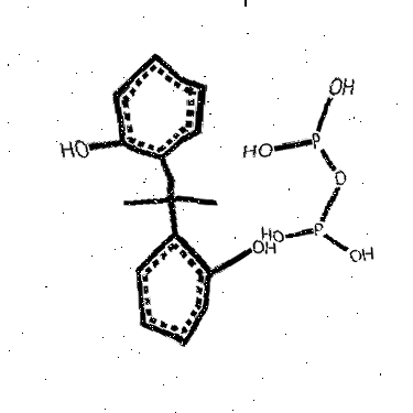 CC(C)(c1ccccc1O)c1ccccc1O.OP(O)OP(O)O